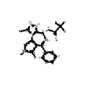 Cc1c2c(cn1C)-n1c(C)nnc1[C@H](CC(=O)C(C)(C)C)N=C2c1ccccc1